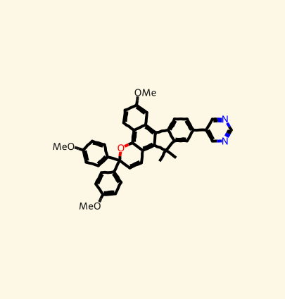 COc1ccc(C2(c3ccc(OC)cc3)C=Cc3c4c(c5cc(OC)ccc5c3O2)-c2ccc(-c3cncnc3)cc2C4(C)C)cc1